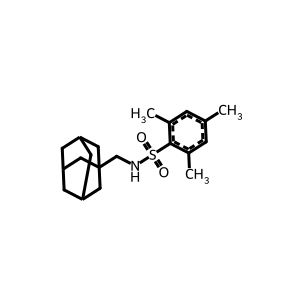 Cc1cc(C)c(S(=O)(=O)NCC23CC4CC(CC(C4)C2)C3)c(C)c1